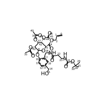 C=CCOC(=O)[C@H]1O[C@@H](Oc2ccc(CO)cc2CNC(=O)CCNC(=O)OC(C)(C)C)[C@H](OC(C)=O)[C@@H](OC(C)=O)[C@@H]1OC(C)=O